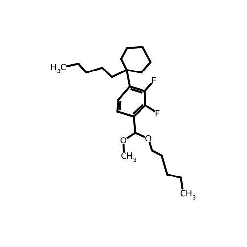 CCCCCOC(OC)c1ccc(C2(CCCCC)CCCCC2)c(F)c1F